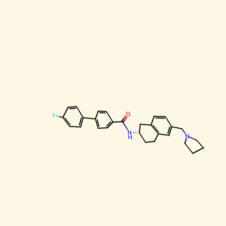 O=C(N[C@H]1CCc2cc(CN3CCCC3)ccc2C1)c1ccc(-c2ccc(F)cc2)cc1